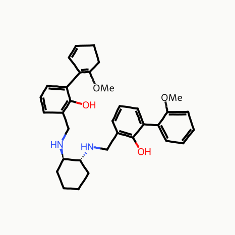 COC1=C(c2cccc(CN[C@@H]3CCCC[C@H]3NCc3cccc(-c4ccccc4OC)c3O)c2O)C=CCC1